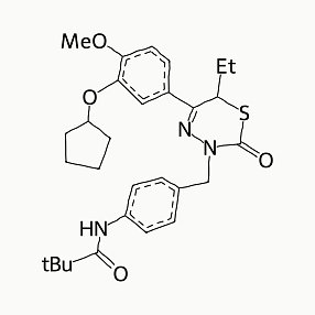 CCC1SC(=O)N(Cc2ccc(NC(=O)C(C)(C)C)cc2)N=C1c1ccc(OC)c(OC2CCCC2)c1